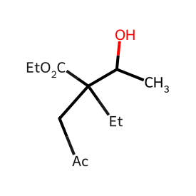 CCOC(=O)C(CC)(CC(C)=O)C(C)O